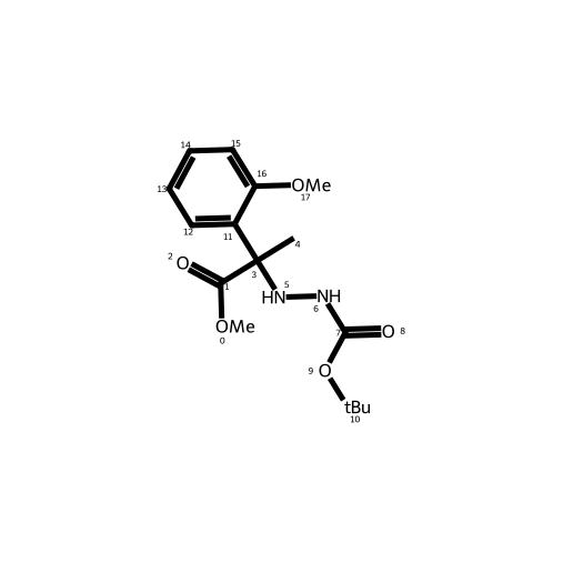 COC(=O)C(C)(NNC(=O)OC(C)(C)C)c1ccccc1OC